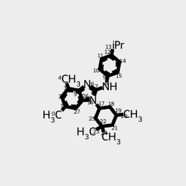 Cc1cc(C)c2nc(Nc3ccc(C(C)C)cc3)n(C3CC(C)CC(C)(C)C3)c2c1